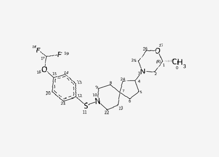 C[C@@H]1CN(C2CCC3(CCN(Sc4ccc(OC(F)F)cc4)CC3)C2)CCO1